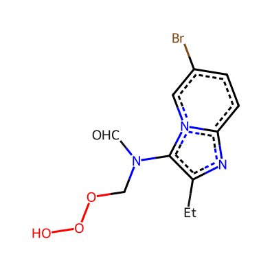 CCc1nc2ccc(Br)cn2c1N(C=O)COOO